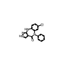 O=C1c2c[nH]nc2Nc2ccc(Cl)cc2N1c1ccccc1